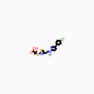 CC(C)(Sc1nc(CCNc2ccc(-c3ccc(Cl)cc3)cn2)cs1)C(=O)O